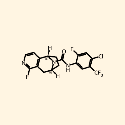 O=C(Nc1cc(C(F)(F)F)c(Cl)cc1F)N1[C@@H]2CC[C@H]1c1ccnc(F)c1C2